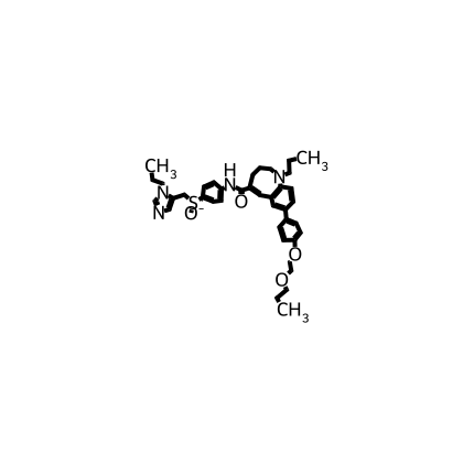 CCCOCCOc1ccc(-c2ccc3c(c2)C=C(C(=O)Nc2ccc([S+]([O-])Cc4cncn4CCC)cc2)CCCN3CCC)cc1